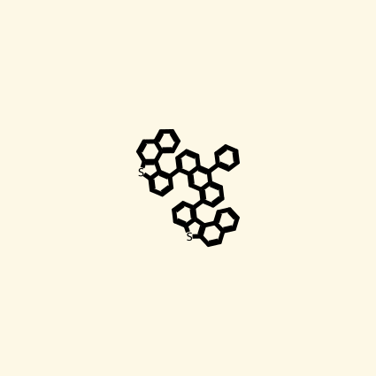 c1ccc(-c2c3cccc(-c4cccc5sc6ccc7ccccc7c6c45)c3cc3c(-c4cccc5sc6ccc7ccccc7c6c45)cccc23)cc1